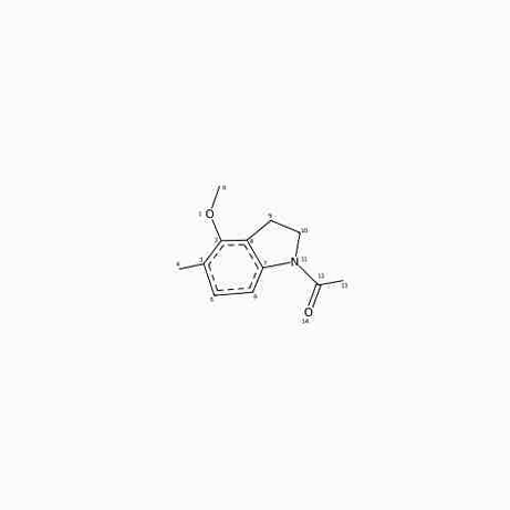 COc1c(C)ccc2c1CCN2C(C)=O